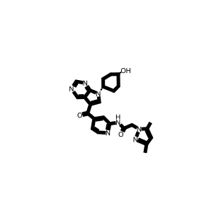 Cc1cc(C)n(CC(=O)Nc2cc(C(=O)c3cn([C@H]4CC[C@@H](O)CC4)c4ncncc34)ccn2)n1